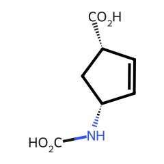 O=C(O)N[C@H]1C=C[C@@H](C(=O)O)C1